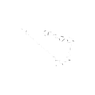 CC1CC(=O)N(CCCCCNC(=O)[C@H](C)NC(=O)[C@@H](NC(=O)CCOCCOCCOCCOCCONC(=O)OC(C)(C)C)C(C)C)N=C1c1ccc(NC(=O)N2Cc3ccncc3C2)cc1